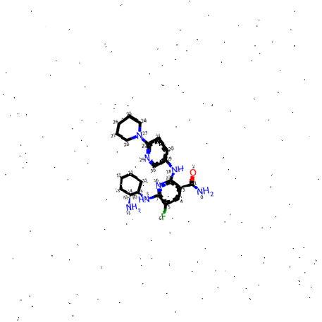 NC(=O)c1cc(F)c(N[C@@H]2CCCC[C@@H]2N)nc1Nc1ccc(N2CCCCC2)nc1